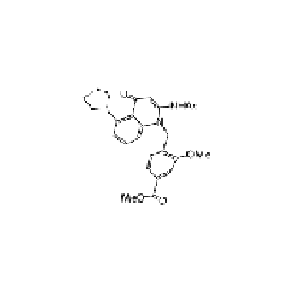 COC(=O)c1ccc(Cn2c(NC(C)=O)cc(=O)c3c(C4CCCC4)cccc32)c(OC)c1